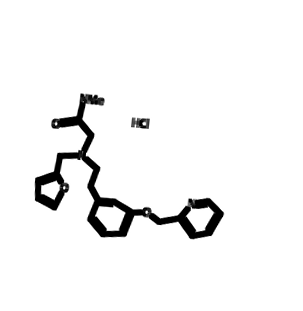 CNC(=O)CN(CCc1cccc(OCc2ccccn2)c1)Cc1ccco1.Cl